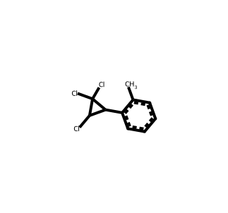 Cc1ccccc1C1C(Cl)C1(Cl)Cl